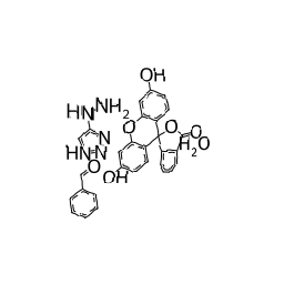 NNc1c[nH]nn1.O.O=C1OC2(c3ccc(O)cc3Oc3cc(O)ccc32)c2ccccc21.O=Cc1ccccc1